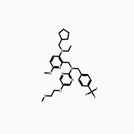 CCN(CC1CCCC1)c1ccc(OC)nc1CN(Cc1ccc(C(F)(F)F)cc1)c1ncc(OCCSC)cn1